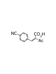 CC(=O)/C(=C/c1ccc(C#N)cc1)C(=O)O